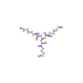 CCCOCCNC(=O)CN(CC(=O)NCCOCCC(C)=O)CC(=O)NCCOCCC(C)=O